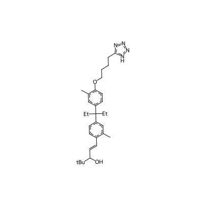 CCC(CC)(c1ccc(C=CC(O)C(C)(C)C)c(C)c1)c1ccc(OCCCCc2nnn[nH]2)c(C)c1